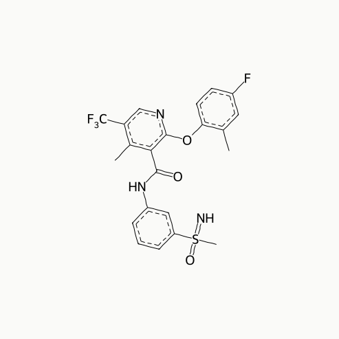 Cc1cc(F)ccc1Oc1ncc(C(F)(F)F)c(C)c1C(=O)Nc1cccc(S(C)(=N)=O)c1